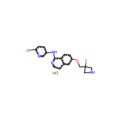 Cl.FC1(COc2ccc3c(Nc4ccc(Cl)nc4)nccc3c2)CNC1